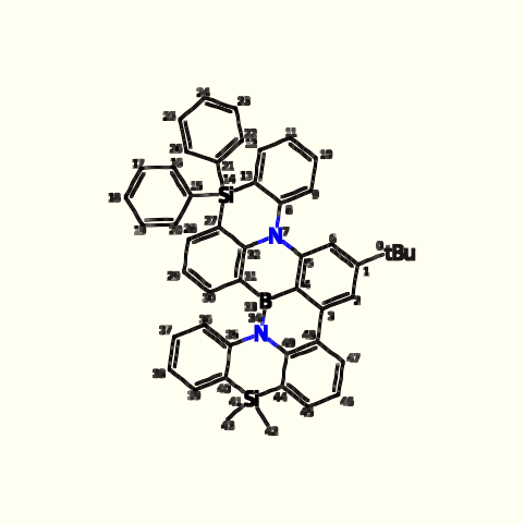 CC(C)(C)c1cc2c3c(c1)N1c4ccccc4[Si](c4ccccc4)(c4ccccc4)c4cccc(c41)B3N1c3ccccc3[Si](C)(C)c3cccc-2c31